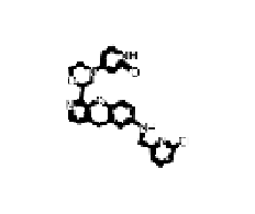 O=c1cc(N2CCOC(c3nccc4c3Oc3ccc(NCc5cccc(Cl)n5)cc3C4)C2)cc[nH]1